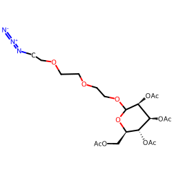 CC(=O)OC[C@H]1OC(OCCOCCOCCN=[N+]=[N-])[C@@H](OC(C)=O)[C@@H](OC(C)=O)[C@@H]1OC(C)=O